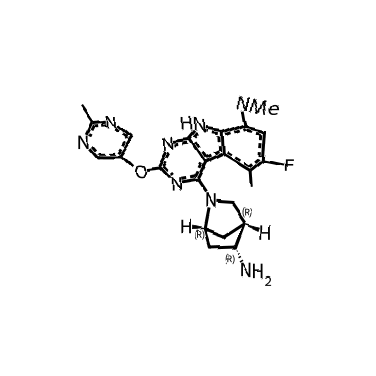 CNc1cc(F)c(C)c2c1[nH]c1nc(Oc3cnc(C)nc3)nc(N3C[C@H]4C[C@@H]3C[C@H]4N)c12